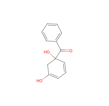 O=C(c1ccccc1)C1(O)C=CC=C(O)C1